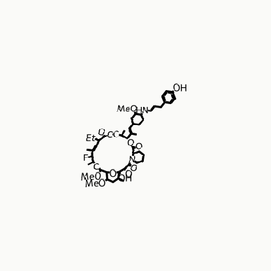 CCC1/C=C(\C)C(F)C(C)CC(OC)C2OC(O)(C(=O)C(=O)N3CCCCC3C(=O)OC(C(C)=CC3CCC(NC=CCc4ccc(O)cc4)C(OC)C3)C(C)CCC1=O)C(C)CC2OC